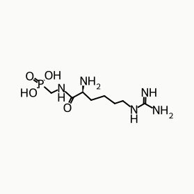 N=C(N)NCCCC[C@H](N)C(=O)NCP(=O)(O)O